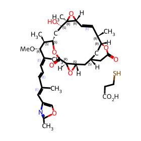 CO[C@@H](/C(C)=C/C=C/C(C)=C/c1coc(C)n1)[C@@H](C)[C@@H]1C[C@H](O)[C@@]2(C)O[C@@H]2/C=C/[C@@H](C)[C@H]2C[C@H](CC(=O)O2)C[C@@H]2O[C@H]2C(=O)O1.O=C(O)CCS